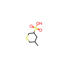 CC1CSCC(S(=O)(=O)O)C1